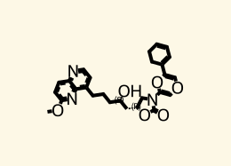 COc1ccc2nccc(CCC[C@H](O)C[C@@H]3CN(C4=COC=C(C5=CC=CCC5)O4)C(=O)O3)c2n1